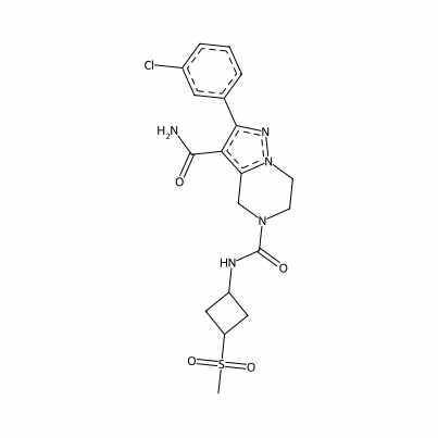 CS(=O)(=O)C1CC(NC(=O)N2CCn3nc(-c4cccc(Cl)c4)c(C(N)=O)c3C2)C1